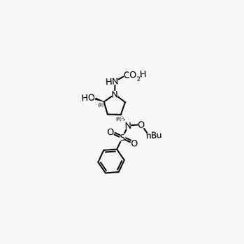 CCCCON([C@@H]1C[C@@H](O)N(NC(=O)O)C1)S(=O)(=O)c1ccccc1